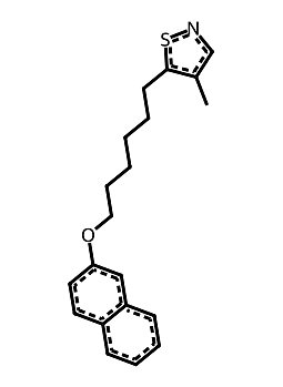 Cc1cnsc1CCCCCCOc1ccc2ccccc2c1